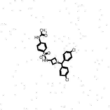 CC(=O)Nc1ccc(S(=O)(=O)NC2CN(C(c3ccc(Cl)cc3)c3ccc(Cl)cc3)C2)cc1